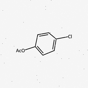 CC(=O)Oc1c[c]c(Cl)cc1